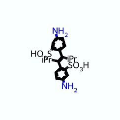 CC(C)/C(=C(\c1ccc(N)cc1S(=O)(=O)O)C(C)C)c1ccc(N)cc1S(=O)(=O)O